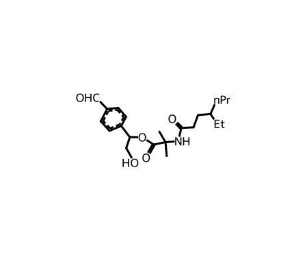 CCCC(CC)CCC(=O)NC(C)(C)C(=O)OC(CO)c1ccc(C=O)cc1